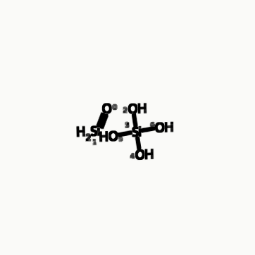 O=[SiH2].O[Si](O)(O)O